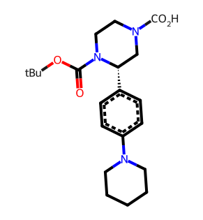 CC(C)(C)OC(=O)N1CCN(C(=O)O)C[C@@H]1c1ccc(N2CCCCC2)cc1